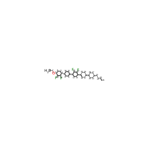 BCOc1ccc(-c2ccc(-c3ccc(C4=CCC(C5CCC(CCC=C)CC5)CC4)c(F)c3F)cc2)c(F)c1F